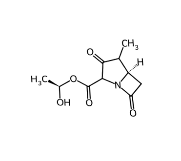 CC1C(=O)C(C(=O)O[C@H](C)O)N2C(=O)C[C@H]12